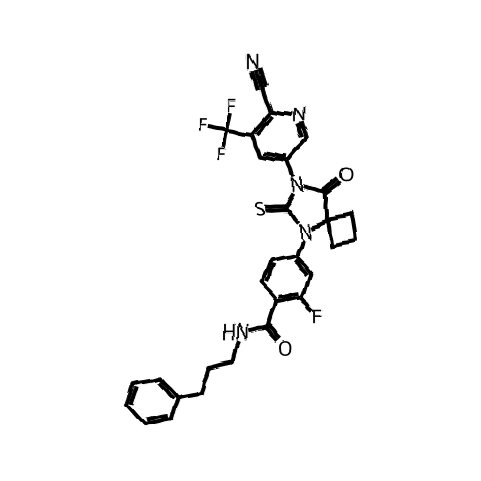 N#Cc1ncc(N2C(=O)C3(CCC3)N(c3ccc(C(=O)NCCCc4ccccc4)c(F)c3)C2=S)cc1C(F)(F)F